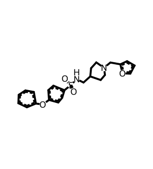 O=S(=O)(NCC1CCN(Cc2ccco2)CC1)c1ccc(Oc2ccccc2)cc1